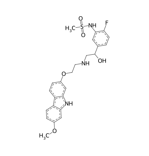 COc1ccc2c(c1)[nH]c1cc(OCCNCC(O)c3ccc(F)c(NS(C)(=O)=O)c3)ccc12